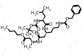 CCCCOC(=O)CN(C)NC(=O)C[C@H](CCCNC(=O)OCc1ccccc1)NC(=O)[C@H](CC(C)C)NC(=O)OC(C)(C)C